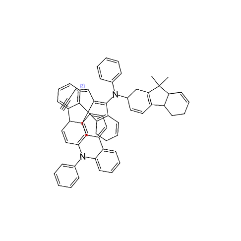 C#C/C=C\C1=C(N(c2ccccc2)C2C=CC3=C(C2)C(C)(C)C2C=CCCC32)C2=C(CCC=C2)C12c1ccccc1C1C=CC(N(c3ccccc3)c3ccccc3-c3ccccc3)=CC12